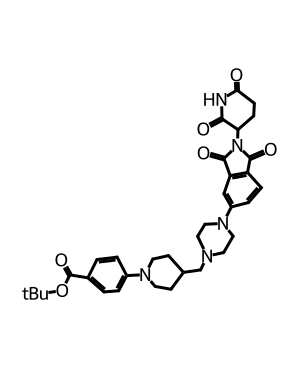 CC(C)(C)OC(=O)c1ccc(N2CCC(CN3CCN(c4ccc5c(c4)C(=O)N(C4CCC(=O)NC4=O)C5=O)CC3)CC2)cc1